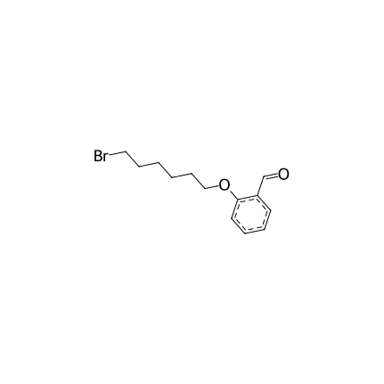 O=Cc1ccccc1OCCCCCCBr